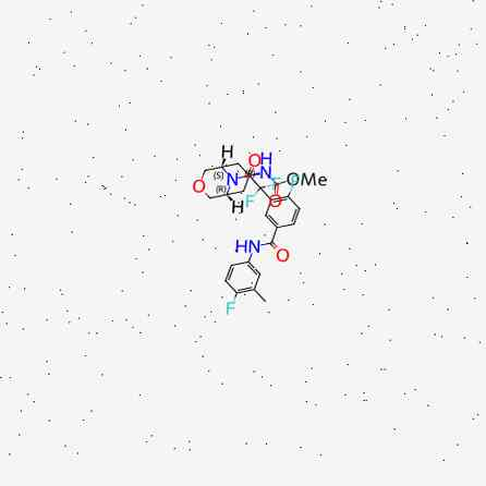 COC(=O)N[C@@H]1C[C@H]2COC[C@@H](C1)N2C(=O)C(F)(F)c1cc(C(=O)Nc2ccc(F)c(C)c2)ccc1F